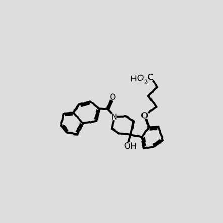 O=C(O)CCCOc1ccccc1C1(O)CCN(C(=O)c2ccc3ccccc3c2)CC1